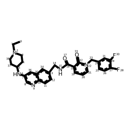 CCN1CCC(Nc2cnc3ccc(CNC(=O)c4cccn(Cc5ccc(F)c(F)c5)c4=O)cc3c2)CC1